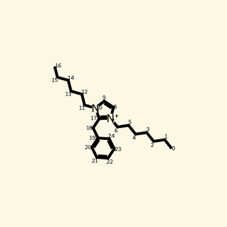 CCCCCCC[n+]1ccn(CCCCCC)c1Cc1ccccc1